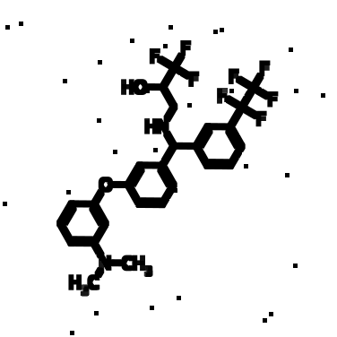 CN(C)c1cccc(Oc2cccc(C(NCC(O)C(F)(F)F)c3cccc(C(F)(F)C(F)(F)F)c3)c2)c1